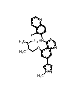 C[C@@H](COc1cc(-c2cnn(C)c2)cc2ncnc(Nc3ccc4ncccc4c3F)c12)N(C)C